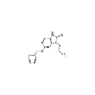 NCCn1c(=O)[nH]c2ccc(OCc3ccccc3)cc21